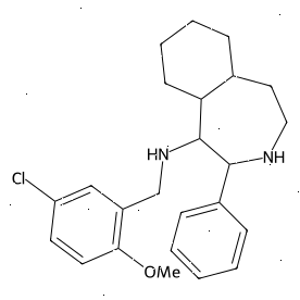 COc1ccc(Cl)cc1CNC1C(c2ccccc2)NCCC2CCCCC21